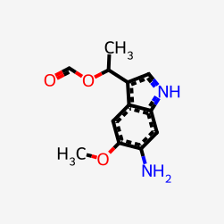 COc1cc2c(C(C)OC=O)c[nH]c2cc1N